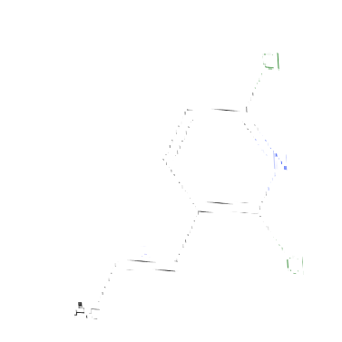 CC(=O)/C=C/c1ccc(Cl)nc1Cl